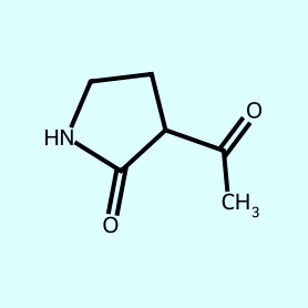 CC(=O)C1CCNC1=O